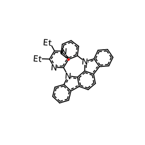 CCc1ncc(-n2c3ccccc3c3ccc4c5ccccc5n(-c5ccccc5)c4c32)nc1CC